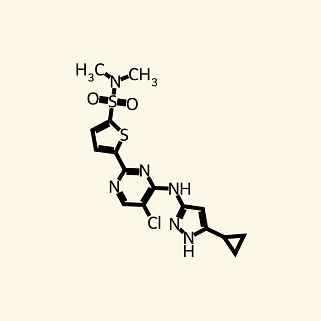 CN(C)S(=O)(=O)c1ccc(-c2ncc(Cl)c(Nc3cc(C4CC4)[nH]n3)n2)s1